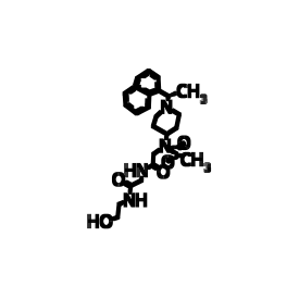 C[C@H](c1cccc2ccccc12)N1CCC(N(CC(=O)NCC(=O)NCCO)S(C)(=O)=O)CC1